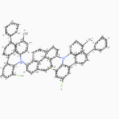 [C-]#[N+]c1ccc(N(c2c(F)cc(F)cc2-c2ccc(-c3ccccc3)cc2)c2ccc3ccc4c(N(c5ccc(C#N)cc5)c5c(F)cc(F)cc5-c5ccc(-c6ccccc6)cc5)ccc5ccc2c3c54)cc1